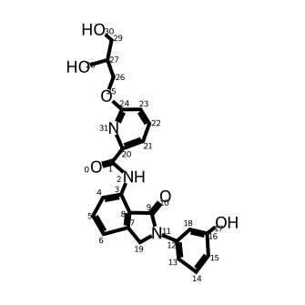 O=C(Nc1cccc2c1C(=O)N(c1cccc(O)c1)C2)c1cccc(OCC(O)CO)n1